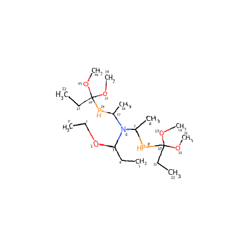 CCOC(CC)N(C(C)PC(CC)(OC)OC)C(C)PC(CC)(OC)OC